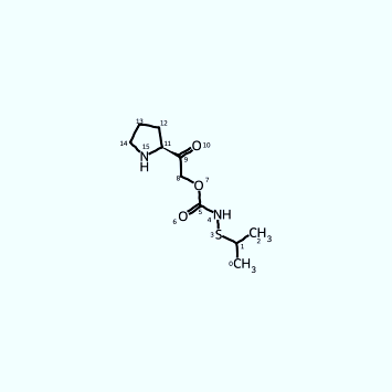 CC(C)SNC(=O)OCC(=O)[C@@H]1CCCN1